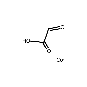 O=CC(=O)O.[Co]